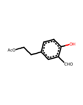 CC(=O)OCCc1ccc(O)c(C=O)c1